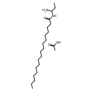 CC(=O)O.CCCCCCCCCCCCCCCCCC(=O)NC(N)CC